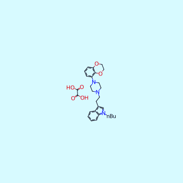 CCCCn1cc(CCN2CCN(c3cccc4c3OCCO4)CC2)c2ccccc21.O=C(O)C(=O)O